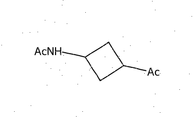 CC(=O)NC1CC(C(C)=O)C1